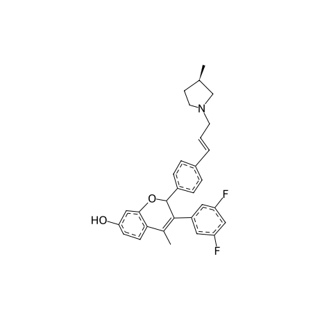 CC1=C(c2cc(F)cc(F)c2)C(c2ccc(/C=C/CN3CC[C@@H](C)C3)cc2)Oc2cc(O)ccc21